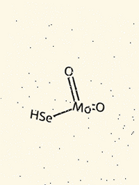 [O]=[Mo](=[O])[SeH]